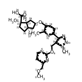 COCc1ccnc(OCc2c(-c3ccc(O[C@@H]4C[C@H]5CC[C@@](C)(C(=O)O)[C@H]5C4)c(C)n3)nnn2C)n1